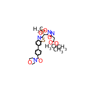 CC(C)(C)OC(=O)Cc1nnc(C(c2nc3ccc(-c4ccc(C(=O)N5CCOCC5)cc4)cc3s2)S(C)(=O)=O)o1